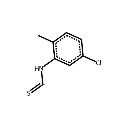 Cc1ccc(Cl)cc1N[C]=S